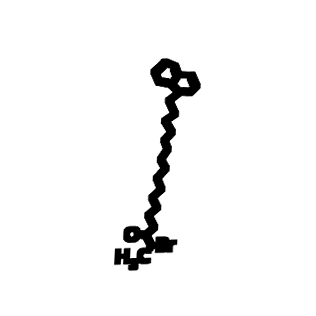 CC(Br)C(=O)CCCCCCCCCCCCCCc1cccc2ccccc12